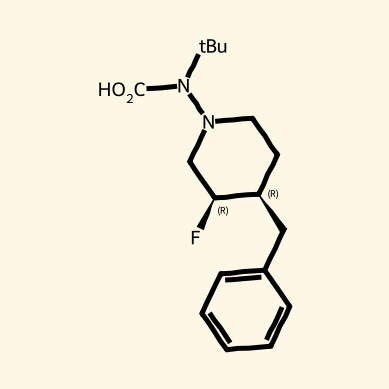 CC(C)(C)N(C(=O)O)N1CC[C@@H](Cc2ccccc2)[C@@H](F)C1